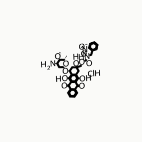 CO[C@@H]1[C@H](C)O[C@@H](O[C@H]2C[C@](O)(COC(=O)NCc3ccccc3[N+](=O)[O-])Cc3c(O)c4c(c(O)c32)C(=O)c2ccccc2C4=O)C[C@@H]1N.Cl